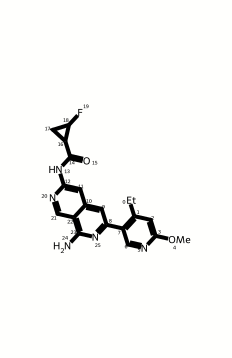 CCc1cc(OC)ncc1-c1cc2cc(NC(=O)C3CC3F)ncc2c(N)n1